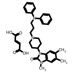 Cc1cc2c(cc1C)n(C1CCN(CCCN(c3ccccc3)c3ccccc3)CC1)c(=O)n2C.O=C(O)C=CC(=O)O